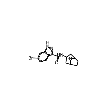 CN1C2CCC1CC(NC(=O)c1n[nH]c3cc(Br)ccc13)C2